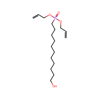 C=CCOP(=O)(CCCCCCCCCCCO)OCC=C